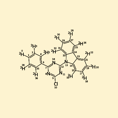 [2H]c1c([2H])c([2H])c(-c2nc(Cl)nc(-n3c4c([2H])c([2H])c([2H])c([2H])c4c4c([2H])c([2H])c([2H])c([2H])c43)n2)c([2H])c1[2H]